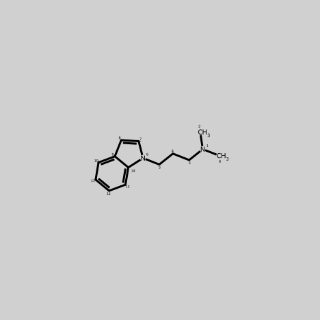 CN(C)CCCn1[c]cc2ccccc21